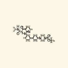 CC(C)NC(=O)c1cn(-c2cccc(-c3ccc(N4CCN(C(=O)OC(C)(C)C)CC4)cc3)c2)c2ncccc2c1=O